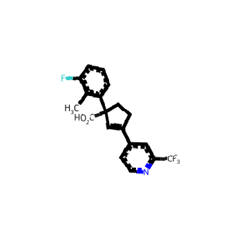 Cc1c(F)cccc1C1(C(=O)O)C=C(c2ccnc(C(F)(F)F)c2)CC1